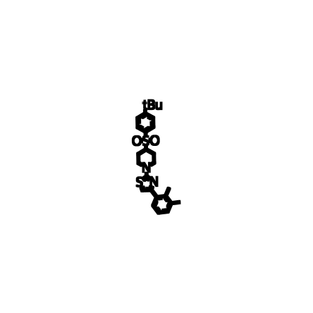 Cc1cccc(-c2csc(N3CCC(S(=O)(=O)c4ccc(C(C)(C)C)cc4)CC3)n2)c1C